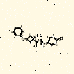 NC1(C(=O)NNc2ccc(Cl)cc2)CC(Oc2ccccc2)C1